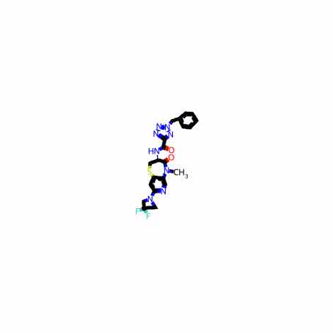 CN1C(=O)[C@@H](NC(=O)c2nnn(Cc3ccccc3)n2)CSc2cc(N3CC(F)(F)C3)ncc21